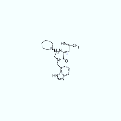 N=C(/C=C(\N)C(=O)N(CCN1CCCCCC1)Cc1cccc2nc[nH]c12)C(F)(F)F